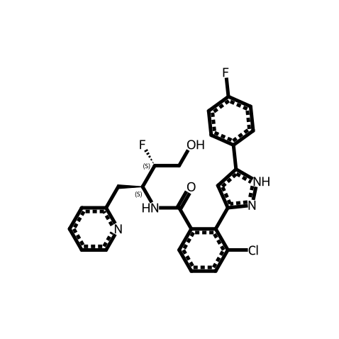 O=C(N[C@@H](Cc1ccccn1)[C@H](F)CO)c1cccc(Cl)c1-c1cc(-c2ccc(F)cc2)[nH]n1